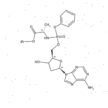 CC(C)OC(=O)[C@H](C)NP(=O)(OC[C@H]1O[C@@H](n2cnc3c(N)ncnc32)CC1O)Oc1ccccc1